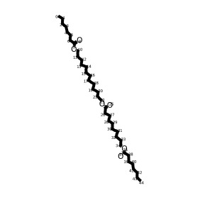 CCCCCCCC(=O)OCCCCCCCCCCCCCOC(=O)CCCCCCCCCOC(=O)CCCCCCC